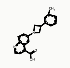 Cc1cccc(C2CN(c3ccc4nccc(C(=O)O)c4c3)C2)c1